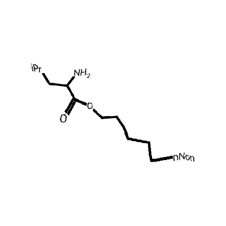 CCCCCCCCCCCCCCOC(=O)C(N)CC(C)C